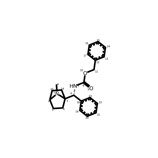 CN1C2CCC1([C@H](NC(=O)OCc1ccccc1)c1ccccc1)CC2